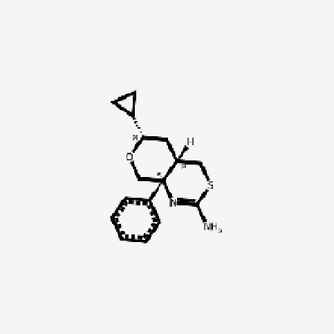 NC1=N[C@]2(c3ccccc3)CO[C@H](C3CC3)C[C@@H]2CS1